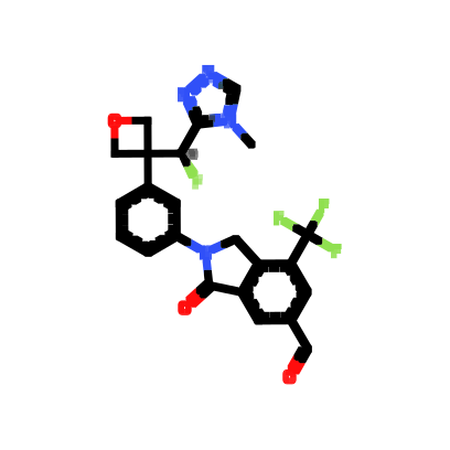 Cn1cnnc1[C@@H](F)C1(c2cccc(N3Cc4c(cc(C=O)cc4C(F)(F)F)C3=O)c2)COC1